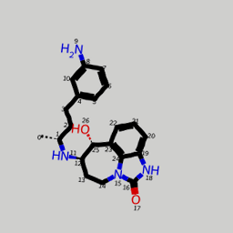 C[C@H](CCc1cccc(N)c1)N[C@@H]1CCn2c(=O)[nH]c3cccc(c32)[C@H]1O